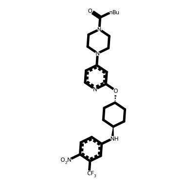 CCCCC(=O)N1CCN(c2ccnc(O[C@H]3CC[C@H](Nc4ccc([N+](=O)[O-])c(C(F)(F)F)c4)CC3)c2)CC1